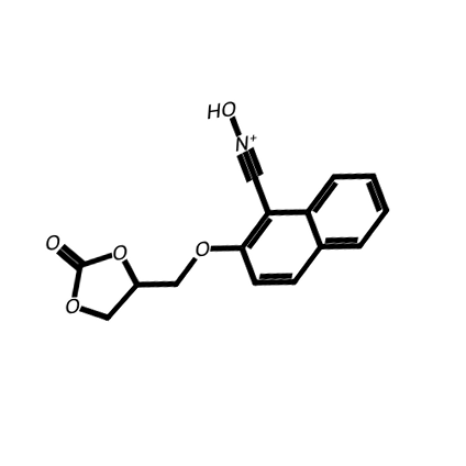 O=C1OCC(COc2ccc3ccccc3c2C#[N+]O)O1